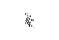 COC(=O)c1ccccc1SC1=C(O)CC(CCc2ccccc2)(c2ccccc2)OC1=O